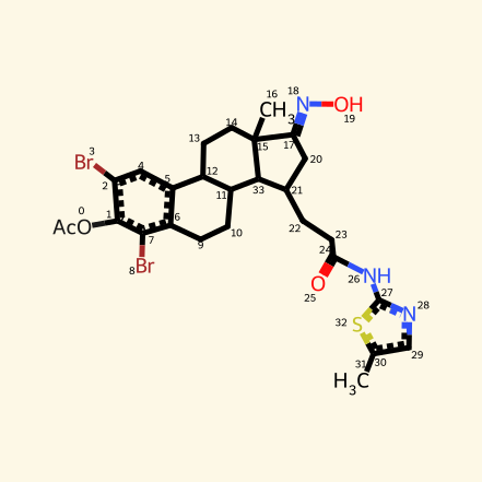 CC(=O)Oc1c(Br)cc2c(c1Br)CCC1C2CCC2(C)C(=NO)CC(CCC(=O)Nc3ncc(C)s3)C12